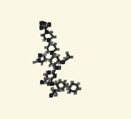 Cn1cc(-c2cc(Nc3ncc(Br)c(Nc4ccc(-c5ccccc5)cc4P(C)(C)=O)n3)c(OC3CC3)cc2N2CCC(N3CCN(C(=O)OC(C)(C)C)CC3)CC2)cn1